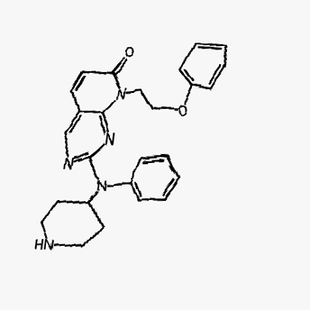 O=c1ccc2cnc(N(c3ccccc3)C3CCNCC3)nc2n1CCOc1ccccc1